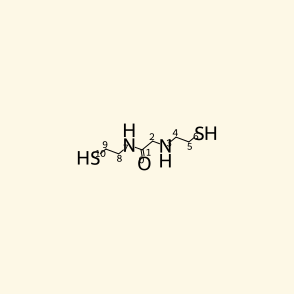 O=C(CNCCS)NCCS